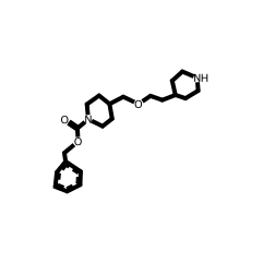 O=C(OCc1ccccc1)N1CCC(COCCC2CCNCC2)CC1